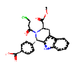 COC(=O)[C@H]1Cc2c([nH]c3ccccc23)[C@H](c2ccc(C(=O)O)cc2)N1C(=O)CCl